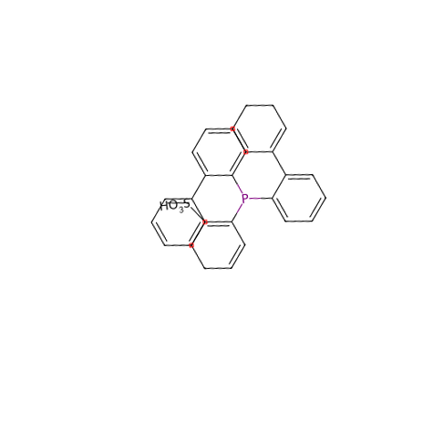 O=S(=O)(O)C1=C(P(c2ccccc2C2=CCCC=C2)c2ccccc2-c2ccccc2)C=CCC1